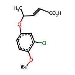 CCC(C)Oc1ccc(OC(C)C=CC(=O)O)cc1Cl